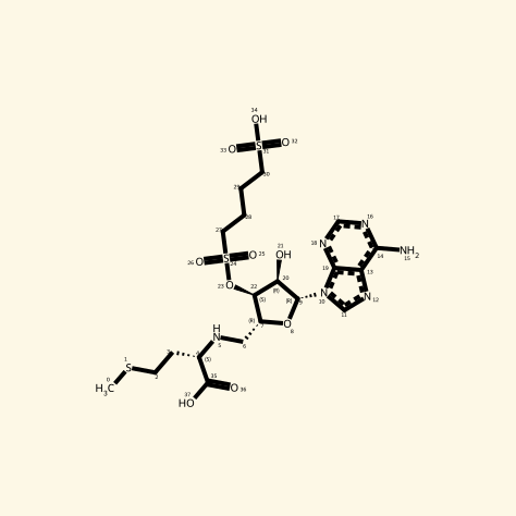 CSCC[C@H](NC[C@H]1O[C@@H](n2cnc3c(N)ncnc32)[C@H](O)[C@@H]1OS(=O)(=O)CCCCS(=O)(=O)O)C(=O)O